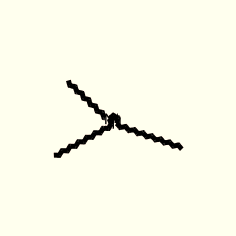 CCCCCCCCCCCCCCCn1cc[n+](CCCCCCCCCCCC)c1CCCCCCCCCCCCCC